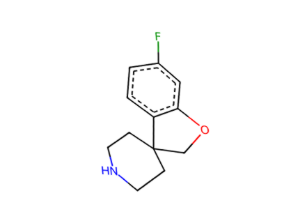 Fc1ccc2c(c1)OCC21CCNCC1